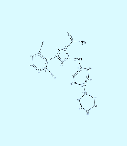 NC(=O)c1nc(-c2c(F)cccc2F)oc1Nc1ccc(N2CCOCC2)nc1